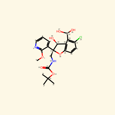 COc1ncccc1[C@@]1(CNC(=O)OC(C)(C)C)Oc2ccc(Cl)c(B(O)O)c2[C@@H]1O